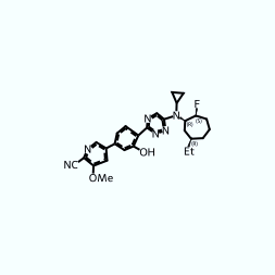 CC[C@@H]1CCC[C@H](F)[C@H](N(c2cnc(-c3ccc(-c4cnc(C#N)c(OC)c4)cc3O)nn2)C2CC2)C1